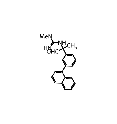 CNC(=N)NC(C)(C=O)c1cccc(-c2cccc3ccccc23)c1